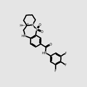 O=C(Nc1cc(F)c(F)c(F)c1)c1ccc2c(c1)S(=O)(=O)N1CCCC[C@@H]1CN2